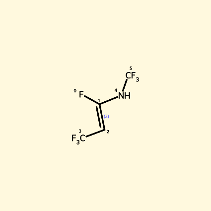 F/C(=C\C(F)(F)F)NC(F)(F)F